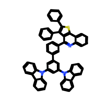 c1ccc(-c2sc3c(c(-c4cccc(-c5cc(-n6c7ccccc7c7ccccc76)cc(-n6c7ccccc7c7ccccc76)c5)c4)nc4ccccc43)c2-c2ccccc2)cc1